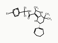 CCc1ccc(C(CC)(CC)NC(=O)C2=C3N[C@@H](C4=CCCCC=C4)CC(C)(C)N3NC2C)cc1